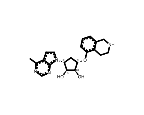 Cc1ncnc2c1ccn2[C@@H]1C[C@H](Oc2cccc3c2CCNC3)[C@@H](O)[C@H]1O